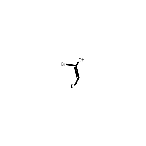 O/C(Br)=C/Br